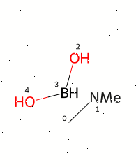 CNC.OBO